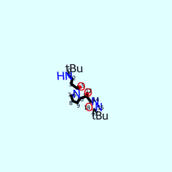 CC(C)(C)NCCC(=O)N1CCCC1C(=O)c1nnc(C(C)(C)C)o1